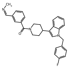 C/N=C\c1cccc(C(=O)N2CCC(c3cn(Cc4ccc(F)cc4)c4ccccc34)CC2)c1